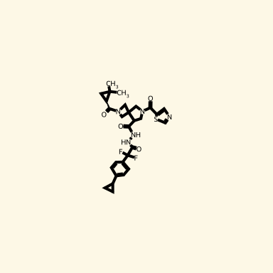 CC1(C)C[C@@H]1C(=O)N1CC2(CN(C(=O)c3cncs3)CC2C(=O)NNC(=O)C(F)(F)c2ccc(C3CC3)cc2)C1